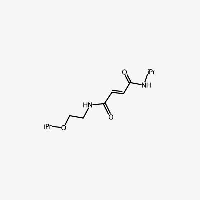 CC(C)NC(=O)/C=C/C(=O)NCCOC(C)C